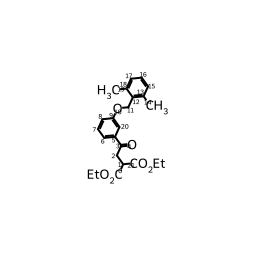 CCOC(=O)C(CC(=O)c1cccc(OCc2c(C)cccc2C)c1)C(=O)OCC